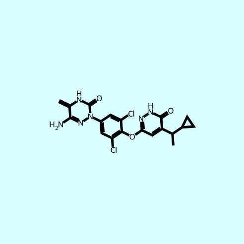 C=C1NC(=O)N(c2cc(Cl)c(Oc3cc(C(C)C4CC4)c(=O)[nH]n3)c(Cl)c2)N=C1N